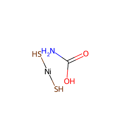 NC(=O)O.[SH][Ni][SH]